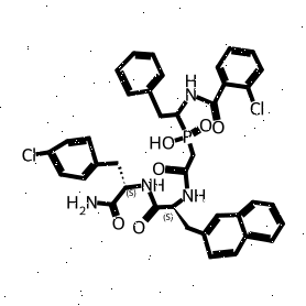 NC(=O)[C@H](Cc1ccc(Cl)cc1)NC(=O)[C@H](Cc1ccc2ccccc2c1)NC(=O)CP(=O)(O)C(Cc1ccccc1)NC(=O)c1ccccc1Cl